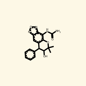 CC1(C)Oc2c(cc3nonc3c2NC(N)=O)C(c2ccccc2)C1O